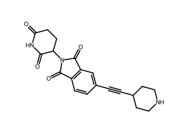 O=C1CCC(N2C(=O)c3ccc(C#CC4CCNCC4)cc3C2=O)C(=O)N1